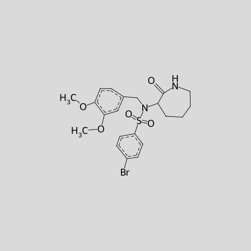 COc1ccc(CN(C2CCCCNC2=O)S(=O)(=O)c2ccc(Br)cc2)cc1OC